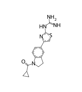 N=C(N)Nc1nc(-c2ccc3c(c2)CCN3C(=O)C2CC2)cs1